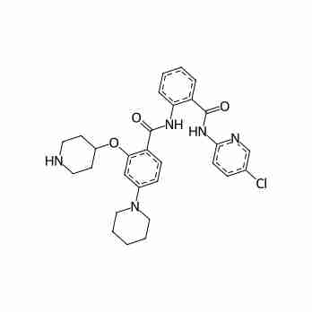 O=C(Nc1ccc(Cl)cn1)c1ccccc1NC(=O)c1ccc(N2CCCCC2)cc1OC1CCNCC1